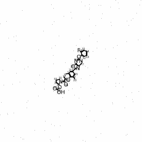 Cc1cc(-c2nc3cnc(Oc4ccccc4F)nc3o2)cc(C)c1OC(C)C(=O)N1CCC[C@@H]1OC(=O)O